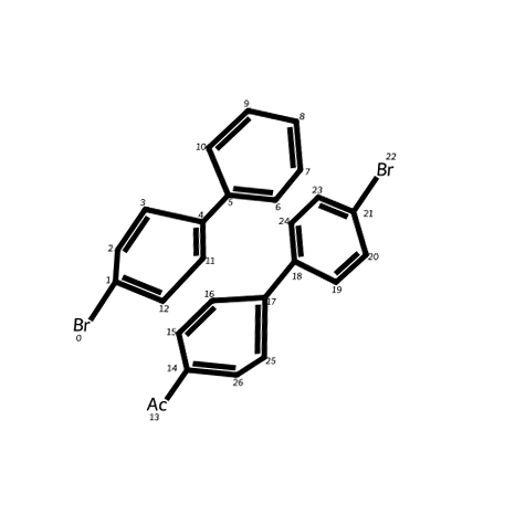 Brc1ccc(-c2ccccc2)cc1.CC(=O)c1ccc(-c2ccc(Br)cc2)cc1